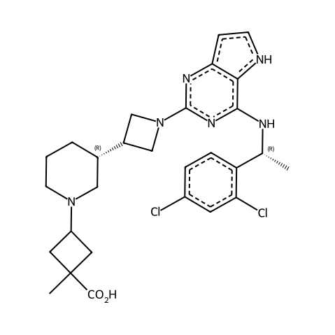 C[C@@H](Nc1nc(N2CC([C@H]3CCCN(C4CC(C)(C(=O)O)C4)C3)C2)nc2cc[nH]c12)c1ccc(Cl)cc1Cl